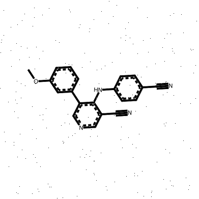 COc1cccc(-c2cncc(C#N)c2Nc2ccc(C#N)cc2)c1